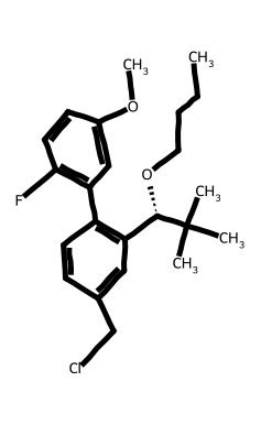 CCCCO[C@@H](c1cc(CCl)ccc1-c1cc(OC)ccc1F)C(C)(C)C